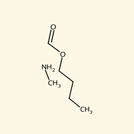 CCCCOC=O.CN